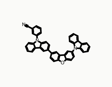 N#Cc1cccc(-n2c3ccccc3c3cc(-c4ccc5oc6ccc(-n7c8ccccc8c8ccccc87)cc6c5c4)ccc32)c1